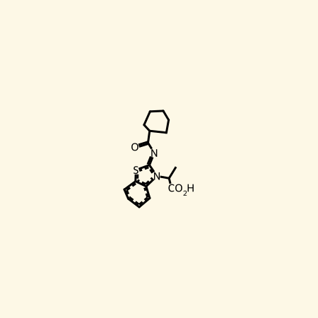 CC(C(=O)O)n1c(=NC(=O)C2CCCCC2)sc2ccccc21